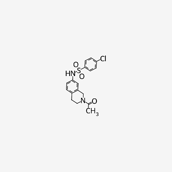 CC(=O)N1CCc2ccc(NS(=O)(=O)c3ccc(Cl)cc3)cc2C1